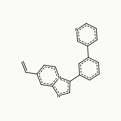 C=Cc1ccn2c(-c3cccc(-c4cccnc4)c3)cnc2c1